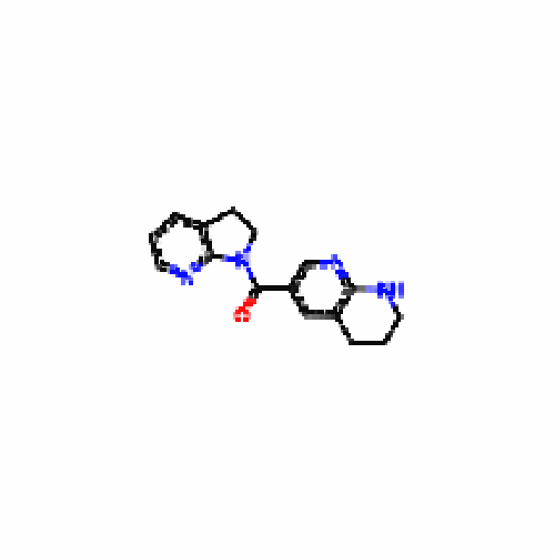 O=C(c1cnc2c(c1)CCCN2)N1CCc2cccnc21